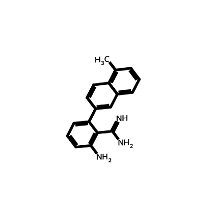 Cc1cccc2cc(-c3cccc(N)c3C(=N)N)ccc12